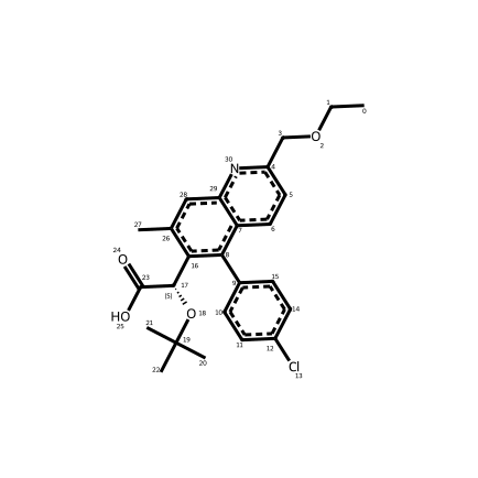 CCOCc1ccc2c(-c3ccc(Cl)cc3)c([C@H](OC(C)(C)C)C(=O)O)c(C)cc2n1